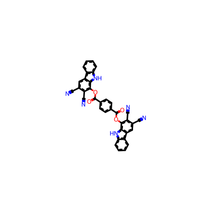 N#Cc1cc2c([nH]c3ccccc32)c(OC(=O)c2ccc(C(=O)Oc3c(C#N)c(C#N)cc4c3[nH]c3ccccc34)cc2)c1C#N